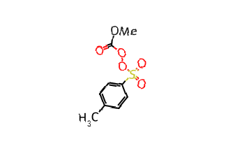 COC(=O)OOS(=O)(=O)c1ccc(C)cc1